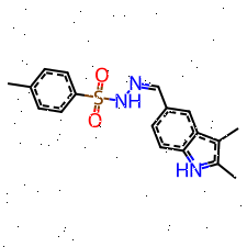 Cc1ccc(S(=O)(=O)N/N=C\c2ccc3[nH]c(C)c(C)c3c2)cc1